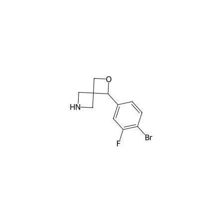 Fc1cc(C2OCC23CNC3)ccc1Br